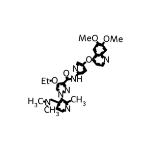 CCOc1cn(-c2c(CN(C)C)ccnc2C)nc1C(=O)Nc1ccc(Oc2ccnc3cc(OC)c(OC)cc23)cn1